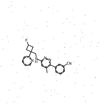 Cc1cc(NCC2(c3ccccn3)CC(F)C2)nnc1-c1cccc(C#N)c1